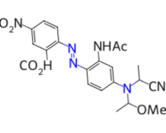 COC(C)N(c1ccc(N=Nc2ccc([N+](=O)[O-])cc2C(=O)O)c(NC(C)=O)c1)C(C)C#N